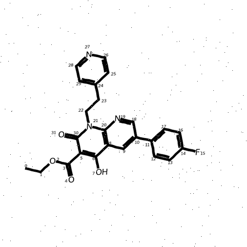 CCOC(=O)c1c(O)c2cc(-c3ccc(F)cc3)cnc2n(CCc2ccncc2)c1=O